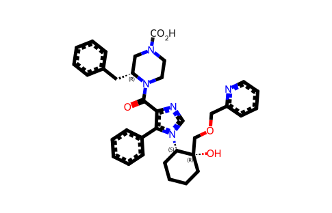 O=C(O)N1CCN(C(=O)c2ncn([C@H]3CCCC[C@]3(O)COCc3ccccn3)c2-c2ccccc2)[C@H](Cc2ccccc2)C1